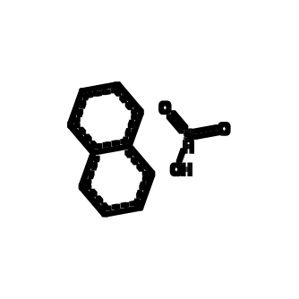 O=[SH](=O)O.c1ccc2ccccc2c1